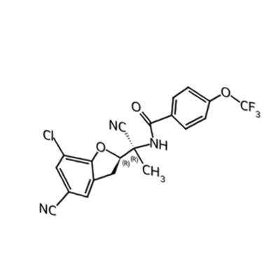 C[C@](C#N)(NC(=O)c1ccc(OC(F)(F)F)cc1)[C@H]1Cc2cc(C#N)cc(Cl)c2O1